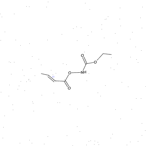 C/C=C/C(=O)ONC(=O)OCC